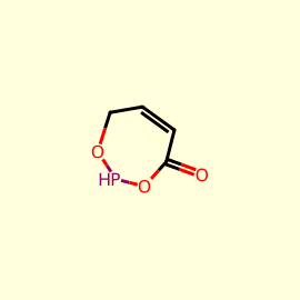 O=C1C=CCOPO1